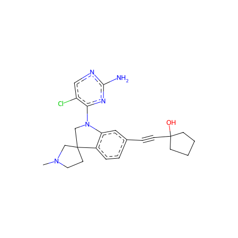 CN1CCC2(C1)CN(c1nc(N)ncc1Cl)c1cc(C#CC3(O)CCCC3)ccc12